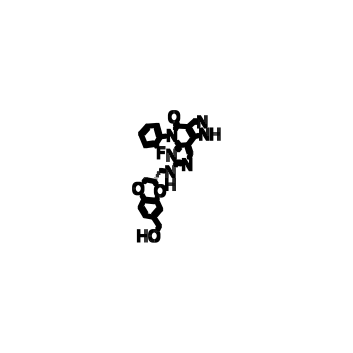 O=c1c2cn[nH]c2c2cnc(NC[C@H]3COc4ccc(CO)cc4O3)nc2n1-c1ccccc1F